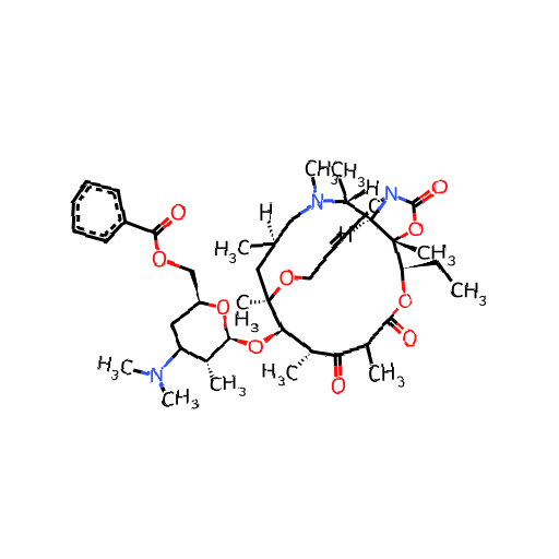 CC[C@H]1OC(=O)C(C)C(=O)[C@H](C)[C@@H](O[C@@H]2O[C@H](COC(=O)c3ccccc3)CC(N(C)C)[C@H]2C)[C@@]2(C)C[C@@H](C)CN(C)[C@H](C)[C@H]3N(C/C=C/CO2)C(=O)O[C@]13C